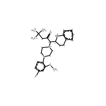 COc1cc(F)ccc1N1CCN(C(C(=O)CC(C)(C)C)C2CCc3ccccc3N2)CC1